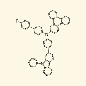 Fc1ccc(-c2ccc(N(c3ccc(-c4ccc5c6ccccc6n(-c6ccccc6)c5c4)cc3)c3ccc4c5ccccc5c5ccccc5c4c3)cc2)cc1